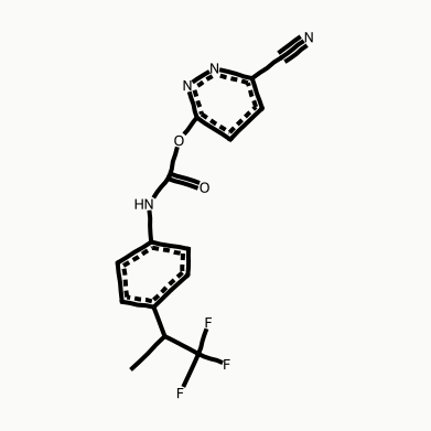 CC(c1ccc(NC(=O)Oc2ccc(C#N)nn2)cc1)C(F)(F)F